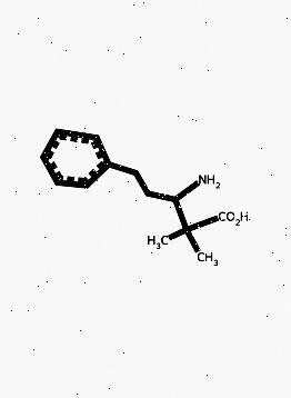 CC(C)(C(=O)O)C(N)CCc1ccccc1